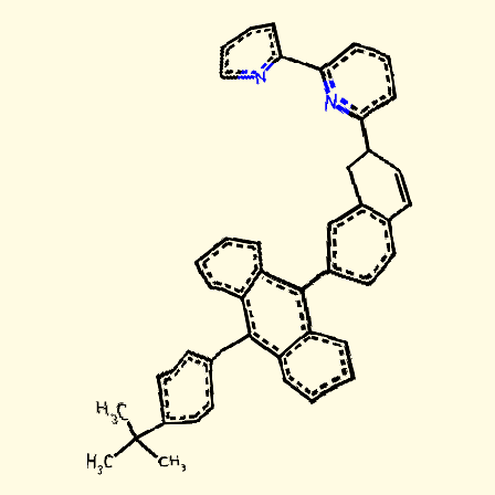 CC(C)(C)c1ccc(-c2c3ccccc3c(-c3ccc4c(c3)CC(c3cccc(-c5ccccn5)n3)C=C4)c3ccccc23)cc1